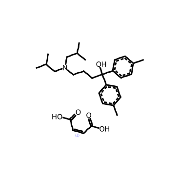 Cc1ccc(C(O)(CCCN(CC(C)C)CC(C)C)c2ccc(C)cc2)cc1.O=C(O)/C=C\C(=O)O